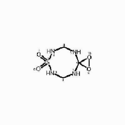 O=S1(=O)NCNC2(NCN1)OO2